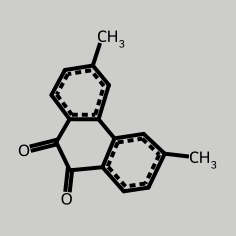 Cc1ccc2c(c1)-c1cc(C)ccc1C(=O)C2=O